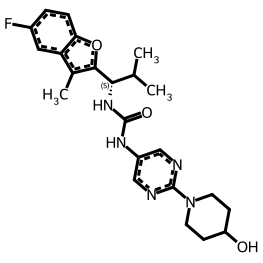 Cc1c([C@@H](NC(=O)Nc2cnc(N3CCC(O)CC3)nc2)C(C)C)oc2ccc(F)cc12